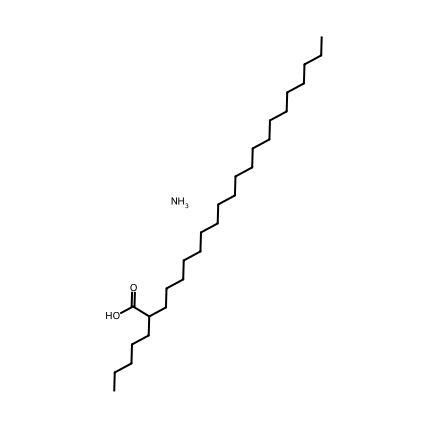 CCCCCCCCCCCCCCCCCCCCC(CCCCC)C(=O)O.N